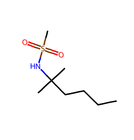 CCCCC(C)(C)NS(C)(=O)=O